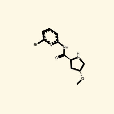 CO[C@H]1CN[C@H](C(=O)Nc2cccc(Br)n2)C1